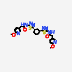 COc1ccc(CC(=O)Nc2nnc([C@H]3CCC[C@H](c4nnc(NC(=O)Cc5ccc(OC)nc5)s4)C3)s2)cn1